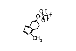 Cc1cccc2c1CCC(OS(=O)(=O)C(F)(F)F)=C2